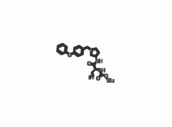 CC(C)C[C@H](NC(=O)OC(C)(C)C)C(=O)N[C@H]1CCN(Cc2ccc(Oc3ccccc3)cc2)C1